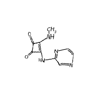 CNc1c(Nc2cnccn2)c(=O)c1=O